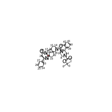 CC(C)(C)OC(=O)N1CCN(C(=O)N2CC/C(=C/n3cnc(-c4ccccc4)cc3=O)C3(CCCC3)C2)[C@H](c2ccccc2)C1